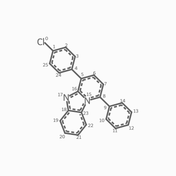 Clc1ccc(-c2ccc(-c3ccccc3)n3c2nc2ccccc23)cc1